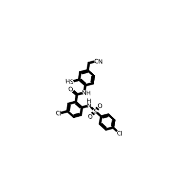 N#CCc1ccc(NC(=O)c2cc(Cl)ccc2NS(=O)(=O)c2ccc(Cl)cc2)c(S)c1